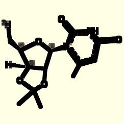 [3H]C[C@H]1O[C@@H](n2c(C)cc(=O)[nH]c2=O)C2OC(C)(C)O[C@H]21